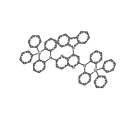 c1ccc([Si]2(c3ccccc3)c3ccccc3N(c3cc(-n4c5ccccc5c5ccccc54)c4nc(N5c6ccccc6[Si](c6ccccc6)(c6ccccc6)c6ccccc65)ccc4n3)c3ccccc32)cc1